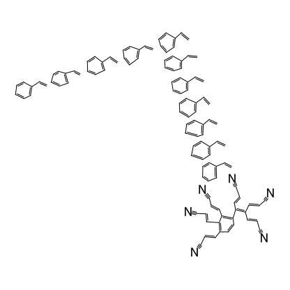 C=Cc1ccccc1.C=Cc1ccccc1.C=Cc1ccccc1.C=Cc1ccccc1.C=Cc1ccccc1.C=Cc1ccccc1.C=Cc1ccccc1.C=Cc1ccccc1.C=Cc1ccccc1.C=Cc1ccccc1.C=Cc1ccccc1.N#CC=CC(C=CC#N)=C(C=CC#N)c1ccc(C=CC#N)c(C=CC#N)c1C=CC#N